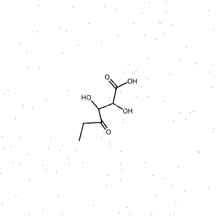 CCC(=O)C(O)C(O)C(=O)O